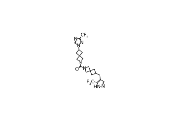 O=C(N1CC2(CC(Cc3cn[nH]c3C(F)(F)F)C2)C1)N1CC2(CC(n3cnc(C(F)(F)F)n3)C2)C1